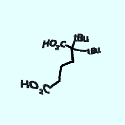 CC(C)(C)C(CCCC(=O)O)(C(=O)O)C(C)(C)C